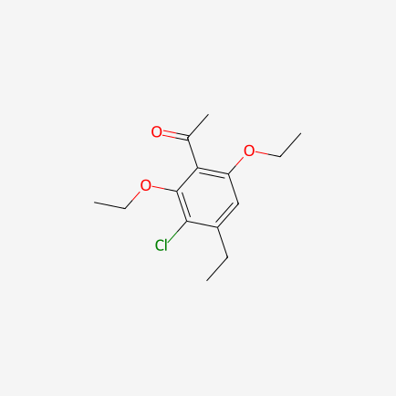 CCOc1cc(CC)c(Cl)c(OCC)c1C(C)=O